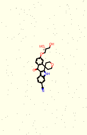 N#Cc1ccc2c3c([nH]c2c1)C1(CCOCC1)c1cc(OC[C@H](O)CO)ccc1C3=O